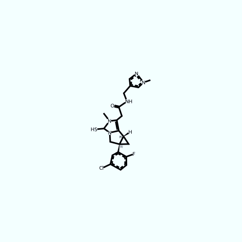 CN1C(CC(=O)NCc2cnn(C)c2)=C2[C@@H]3C[C@]3(c3cc(Cl)ccc3F)CN2C1S